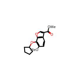 COC(=O)c1coc2c(OC3CCCC3)c(OC)ccc12